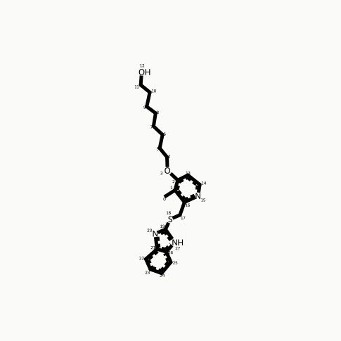 Cc1c(OCCCCCCCCO)ccnc1CSc1nc2ccccc2[nH]1